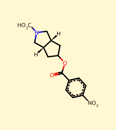 O=C(OC1C[C@@H]2CN(C(=O)O)C[C@@H]2C1)c1ccc([N+](=O)[O-])cc1